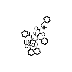 N[C@H](C(=O)C(=O)NCc1ccccc1)C(C(=O)[C@H](Cc1ccccc1)NS(=O)(=O)c1cccc2ccccc12)c1ccccc1